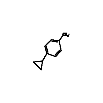 [CH2]c1ccc(C2CC2)cc1